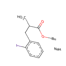 CCC(C)OC(=O)C(Cc1ccccc1I)C(=O)O.[NaH]